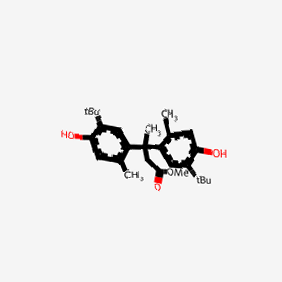 COC(=O)CC(C)(c1cc(C(C)(C)C)c(O)cc1C)c1cc(C(C)(C)C)c(O)cc1C